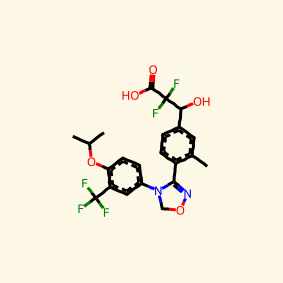 Cc1cc(C(O)C(F)(F)C(=O)O)ccc1C1=NOCN1c1ccc(OC(C)C)c(C(F)(F)F)c1